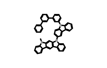 Cn1c2ccccc2c2cc3c4ccccc4n(-c4ccc5c(c4)c4ccccc4n5-c4cccc(-c5cccc(-c6ccccc6)c5)c4)c3cc21